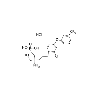 Cl.NC(CO)(CCCc1ccc(Oc2cccc(C(F)(F)F)c2)cc1Cl)CCP(=O)(O)O